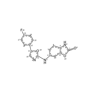 O=c1[nH]c2ccc(Nc3ncc(-c4ccc(F)cc4)o3)cc2o1